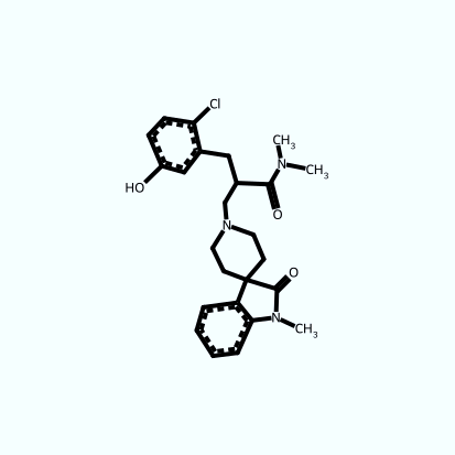 CN(C)C(=O)C(Cc1cc(O)ccc1Cl)CN1CCC2(CC1)C(=O)N(C)c1ccccc12